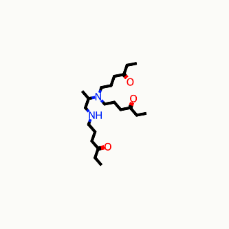 CCC(=O)CCCNCC(C)N(CCCC(=O)CC)CCCC(=O)CC